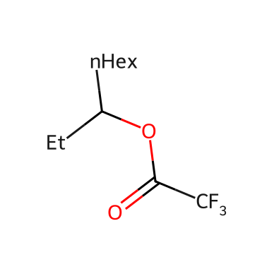 CCCCCCC(CC)OC(=O)C(F)(F)F